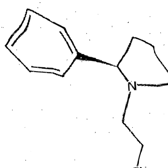 N#CCCN1CCC[C@@H]1c1ccccc1